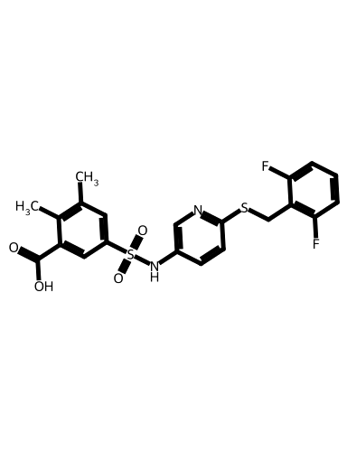 Cc1cc(S(=O)(=O)Nc2ccc(SCc3c(F)cccc3F)nc2)cc(C(=O)O)c1C